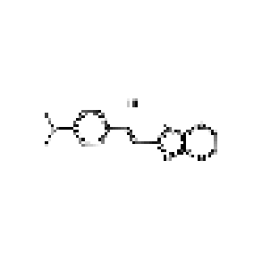 CN(C)c1ccc(C=Cc2nc3ccccc3s2)cc1.I